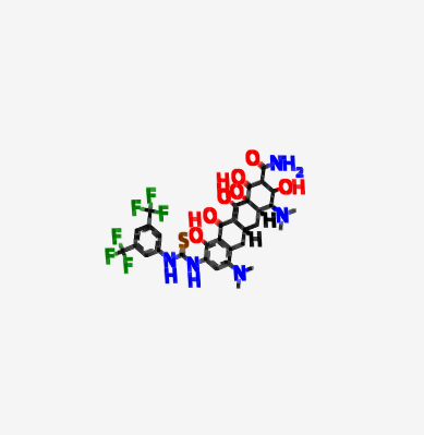 CN(C)c1cc(NC(=S)Nc2cc(C(F)(F)F)cc(C(F)(F)F)c2)c(O)c2c1C[C@H]1C[C@H]3[C@H](N(C)C)C(O)C(C(N)=O)C(=O)[C@@]3(O)C(O)=C1C2=O